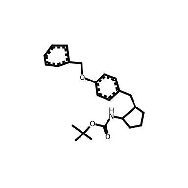 CC(C)(C)OC(=O)NC1CCCC1Cc1ccc(OCc2ccccc2)cc1